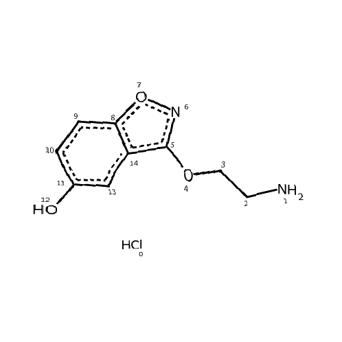 Cl.NCCOc1noc2ccc(O)cc12